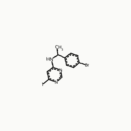 CC(Nc1cc(I)ncn1)c1ccc(Br)cc1